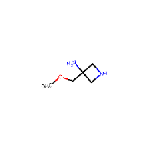 NC1(COC=O)CNC1